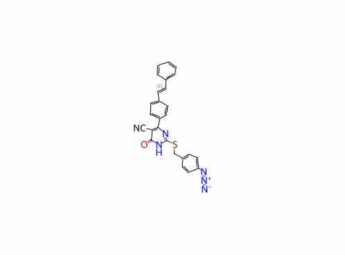 N#Cc1c(-c2ccc(/C=C/c3ccccc3)cc2)nc(SCc2ccc(N=[N+]=[N-])cc2)[nH]c1=O